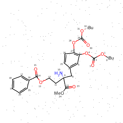 CCC(C)OC(=O)Oc1cc(C[C@](N)(CCOC(=O)c2ccccc2)C(=O)OC)ccc1OC(=O)O[C@@H](C)CC